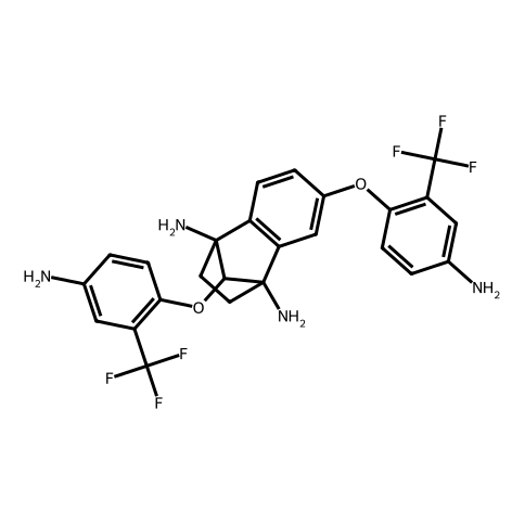 Nc1ccc(Oc2ccc3c(c2)C2(N)CCC3(N)C2Oc2ccc(N)cc2C(F)(F)F)c(C(F)(F)F)c1